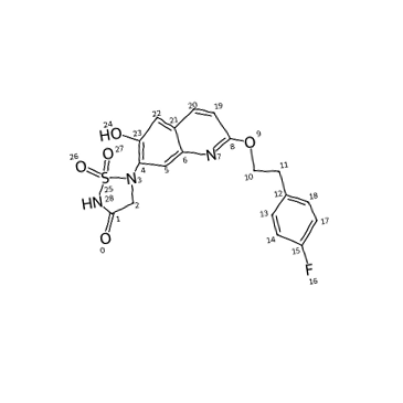 O=C1CN(c2cc3nc(OCCc4ccc(F)cc4)ccc3cc2O)S(=O)(=O)N1